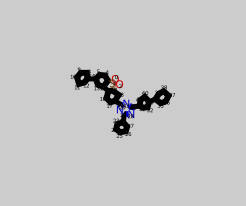 O=S1(=O)c2ccc(-c3ccccc3)cc2-c2ccc(-c3nc(-c4ccccc4)nc(-c4ccc(-c5ccccc5)cc4)n3)cc21